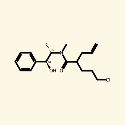 C=CCC(CCCCl)C(=O)N(C)[C@@H](C)[C@@H](O)c1ccccc1